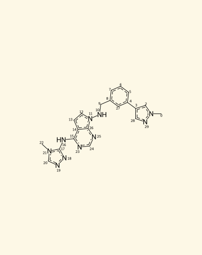 Cn1cc(-c2cccc(CNn3ccc4c(Nc5nncn5C)ncnc43)c2)cn1